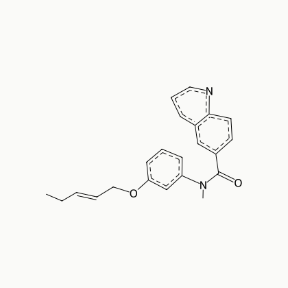 CCC=CCOc1cccc(N(C)C(=O)c2ccc3ncccc3c2)c1